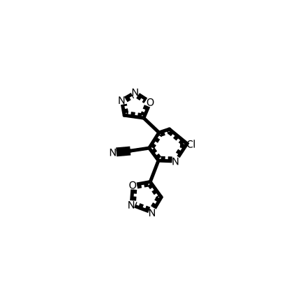 Cl.N#Cc1c(-c2cnno2)ccnc1-c1cnno1